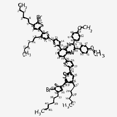 CCCCCCc1cc(-c2sc(-c3ccc(-c4ccc(-c5ccc(-c6cc(CCCCCC)c(-c7cc(CCCCCC)c(Br)s7)s6)s5)c5nc(-c6ccc(OC)cc6)c(-c6ccc(OC)cc6)nc45)s3)cc2CCCCCC)sc1Br